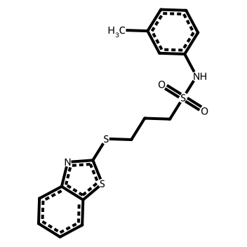 Cc1cccc(NS(=O)(=O)CCCSc2nc3ccccc3s2)c1